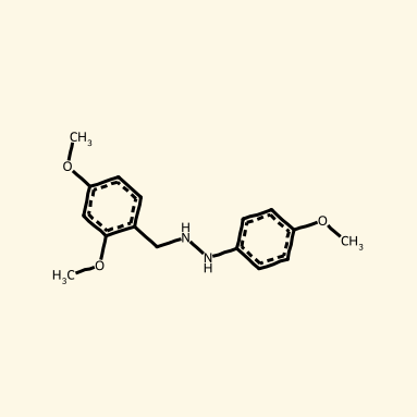 COc1ccc(NNCc2ccc(OC)cc2OC)cc1